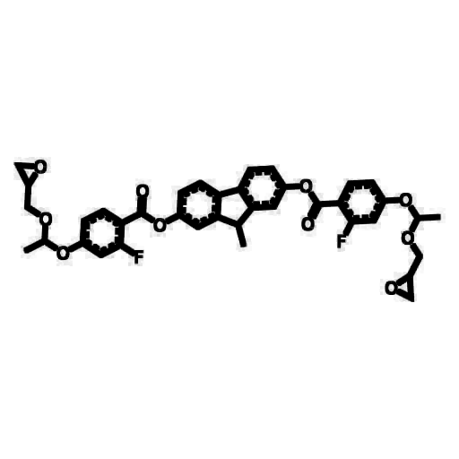 CC(OCC1CO1)Oc1ccc(C(=O)Oc2ccc3c(c2)C(C)c2cc(OC(=O)c4ccc(OC(C)OCC5CO5)cc4F)ccc2-3)c(F)c1